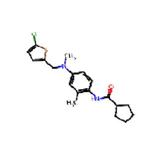 Cc1cc(N(C)Cc2ccc(Cl)s2)ccc1NC(=O)C1CCCC1